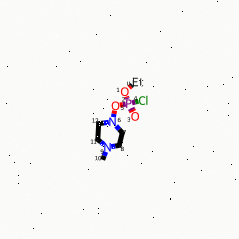 CCOP(=O)(Cl)ON1CCN(C)CC1